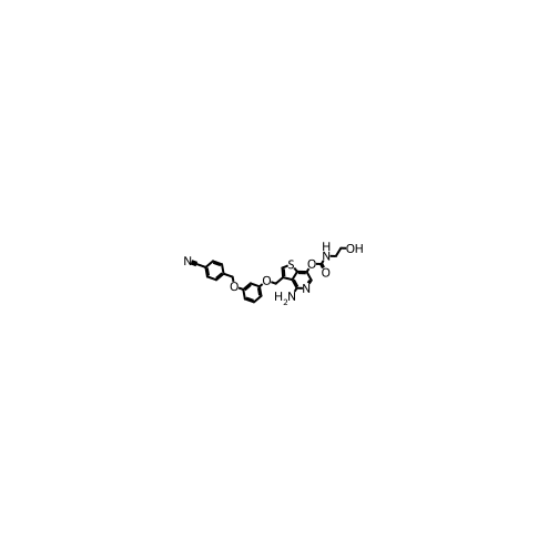 N#Cc1ccc(COc2cccc(OCc3csc4c(OC(=O)NCCO)cnc(N)c34)c2)cc1